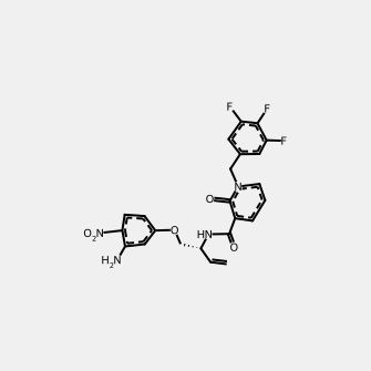 C=C[C@H](COc1ccc([N+](=O)[O-])c(N)c1)NC(=O)c1cccn(Cc2cc(F)c(F)c(F)c2)c1=O